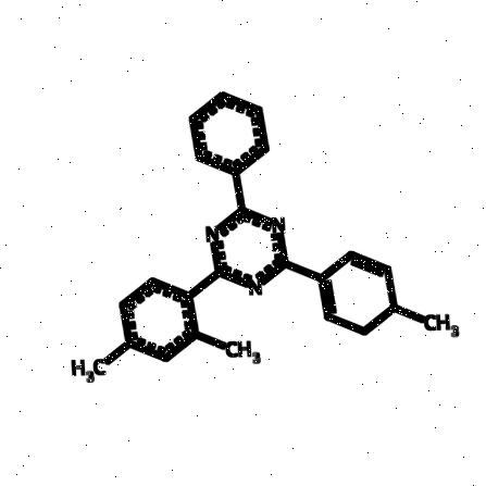 Cc1ccc(-c2nc(C3=CCC(C)C=C3)nc(-c3ccccc3)n2)c(C)c1